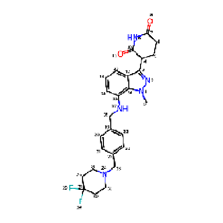 Cn1nc(C2CCC(=O)NC2=O)c2cccc(NCc3ccc(CN4CCC(F)(F)CC4)cc3)c21